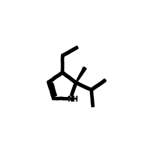 CCC1C=CN[C@@]1(C)C(C)C